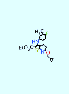 CCOC(=O)c1sc2nc(OCC3CC3)ccc2c1Nc1ccc(F)c(C)c1